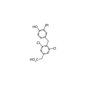 CC(C)c1cc(Cc2c(Cl)cc(CC(=O)O)cc2Cl)ccc1O